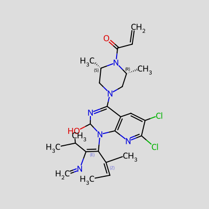 C=CC(=O)N1[C@H](C)CN(C2=NC(O)N(C(/C(C)=C\C)=C(/N=C)C(C)C)c3nc(Cl)c(Cl)cc32)C[C@@H]1C